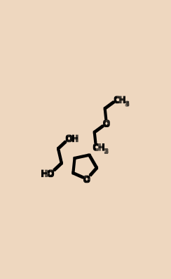 C1CCOC1.CCOCC.OCCO